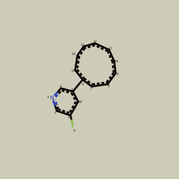 Fc1cncc(-c2ccccccccc2)c1